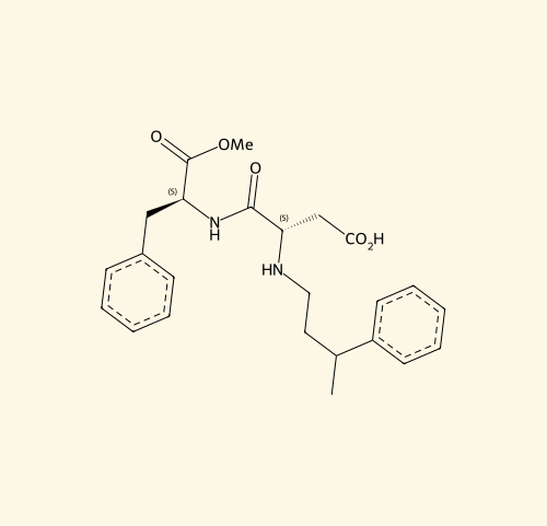 COC(=O)[C@H](Cc1ccccc1)NC(=O)[C@H](CC(=O)O)NCCC(C)c1ccccc1